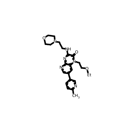 CCOCCn1c(=O)c(NCCN2CCOCC2)nc2ncc(-c3ccc(C)nc3)cc21